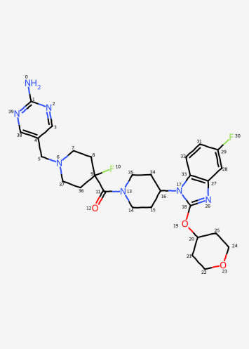 Nc1ncc(CN2CCC(F)(C(=O)N3CCC(n4c(OC5CCOCC5)nc5cc(F)ccc54)CC3)CC2)cn1